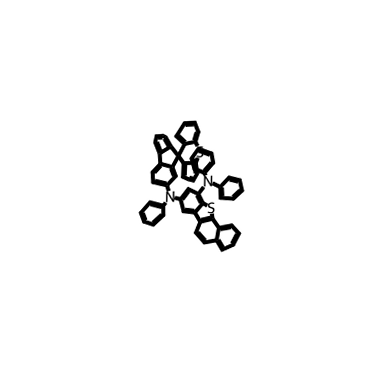 c1ccc(N(c2ccc3c(c2)C2(c4ccccc4Sc4ccccc42)c2ccccc2-3)c2cc(N(c3ccccc3)c3ccccc3)c3sc4c5ccccc5ccc4c3c2)cc1